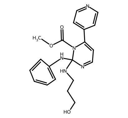 COC(=O)N1C(c2ccncc2)=CC=NC1(NCCCO)Nc1ccccc1